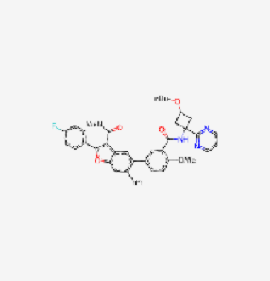 CCCCOC1CC(NC(=O)c2cc(-c3cc4c(C(=O)NC)c(-c5ccc(F)cc5)oc4cc3CCC)ccc2OC)(c2ncccn2)C1